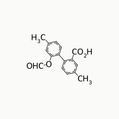 Cc1ccc(-c2ccc(C)cc2C(=O)O)c(OC=O)c1